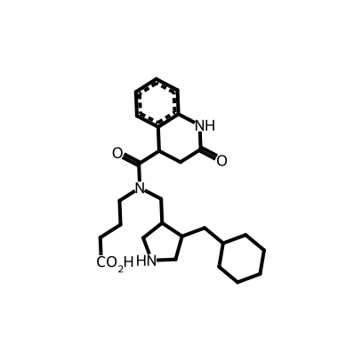 O=C(O)CCCN(CC1CNCC1CC1CCCCC1)C(=O)C1CC(=O)Nc2ccccc21